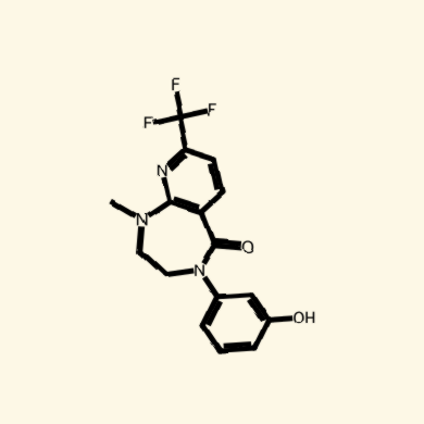 CN1CCN(c2cccc(O)c2)C(=O)c2ccc(C(F)(F)F)nc21